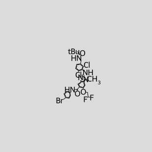 Cn1c(Nc2c(Cl)ccc(CNC(=O)C(C)(C)C)c2Cl)nc2cc(C(=O)Nc3ccc(Br)cc3)c(OCC(F)F)cc21